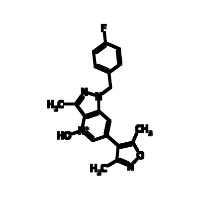 Cc1noc(C)c1-c1cc2c(c(C)nn2Cc2ccc(F)cc2)[n+](O)c1